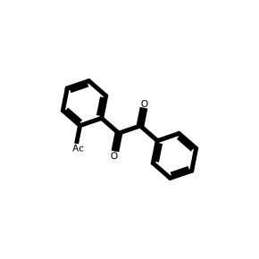 CC(=O)c1ccccc1C(=O)C(=O)c1ccccc1